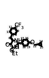 CCONC(=O)/C(=C/c1ccc(C(F)(F)F)cc1)NC(=O)c1ccc(OCC2CC2)cc1